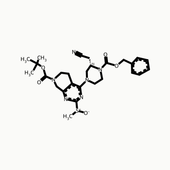 C[S+]([O-])c1nc2c(c(N3CCN(C(=O)OCc4ccccc4)[C@@H](CC#N)C3)n1)CCN(C(=O)OC(C)(C)C)C2